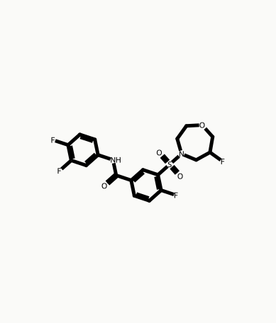 O=C(Nc1ccc(F)c(F)c1)c1ccc(F)c(S(=O)(=O)N2CCOCC(F)C2)c1